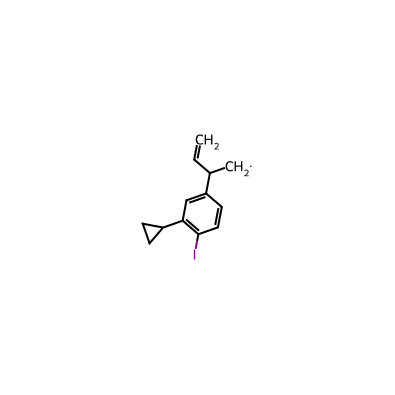 [CH2]C(C=C)c1ccc(I)c(C2CC2)c1